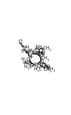 CC[C@H]1OC(=O)[C@H](C)[C@@H](O[C@@H](CCOC)O[C@@H](C)[C@@H](C)O)[C@H](C)[C@@H](O[C@@H]2O[C@H](C)C[C@H](N(C)C)[C@H]2O)[C@](C)(O)C[C@@H](C)CN(CCCNC(=S)NCCCCl)[C@H](C)[C@@H](O)[C@]1(C)O